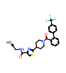 C#CCNC(=O)c1csc(C2CCN(C(=O)c3ccccc3-c3ccc(C(F)(F)F)cc3)CC2)n1